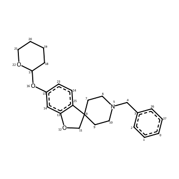 c1ccc(CN2CCC3(CC2)COc2cc(OC4CCCCO4)ccc23)cc1